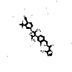 Cc1ncsc1C(=O)NCc1ccc(-c2c(C)nn(-c3ccc(C#N)c(C(F)(F)F)c3)c2C)cc1F